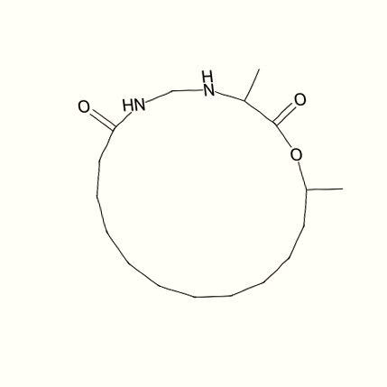 CC1CCCCCCCCCCC(=O)NCNC(C)C(=O)O1